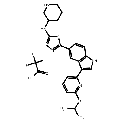 CC(C)Oc1cccc(-c2c[nH]c3ccc(-c4nnc(NC5CCCNC5)s4)cc23)n1.O=C(O)C(F)(F)F